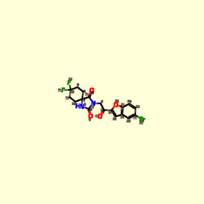 O=C(CN1C(=O)NC2(CCC(F)(F)CC2)C1=O)c1cc2cc(Br)ccc2o1